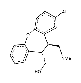 CNC[C@@H]1c2cc(Cl)ccc2Oc2ccccc2[C@H]1CO